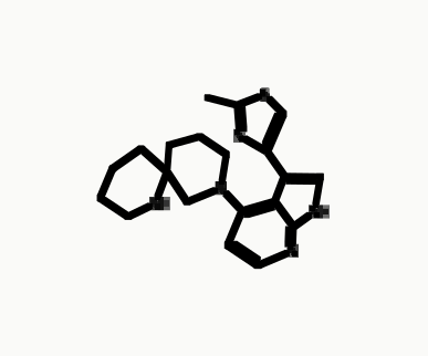 Cc1nc(-c2c[nH]c3nccc(N4CCCC5(CCCCN5)C4)c23)cs1